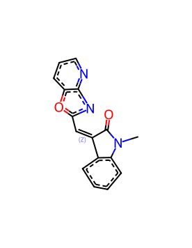 CN1C(=O)/C(=C\c2nc3ncccc3o2)c2ccccc21